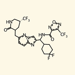 O=C(NC(c1cn2nc(CC3C[C@@H](C(F)(F)F)CNC3=O)ccc2n1)C1CCC(F)(F)CC1)c1nonc1C(F)(F)F